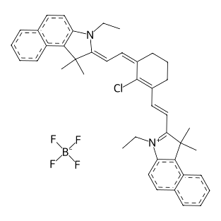 CCN1/C(=C\C=C2\CCCC(/C=C/C3=[N+](CC)c4ccc5ccccc5c4C3(C)C)=C2Cl)C(C)(C)c2c1ccc1ccccc21.F[B-](F)(F)F